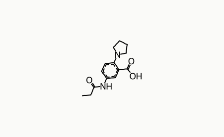 CCC(=O)Nc1ccc(N2CCCC2)c(C(=O)O)c1